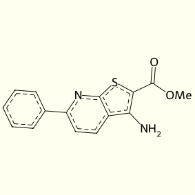 COC(=O)c1sc2nc(-c3ccccc3)ccc2c1N